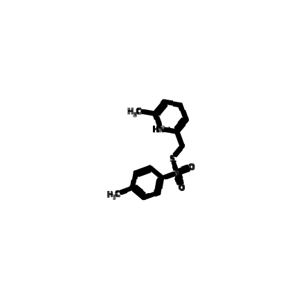 CC1=CCC=C(CSS(=O)(=O)c2ccc(C)cc2)N1